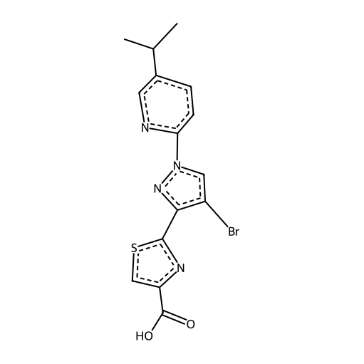 CC(C)c1ccc(-n2cc(Br)c(-c3nc(C(=O)O)cs3)n2)nc1